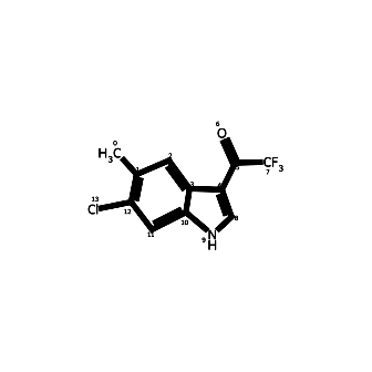 Cc1cc2c(C(=O)C(F)(F)F)c[nH]c2cc1Cl